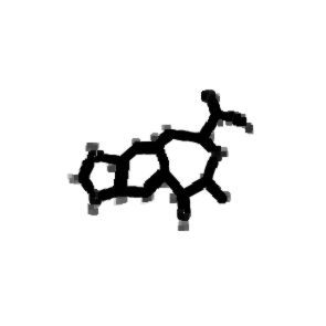 CC1SC(C(N)=O)Cc2cc3c(cc2C1=O)OCO3